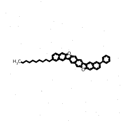 CCCCCCCCCCc1ccc2cc3oc4cc5cc6c(cc5cc4c3cc2c1)oc1cc2ccc(-c3ccccc3)cc2cc16